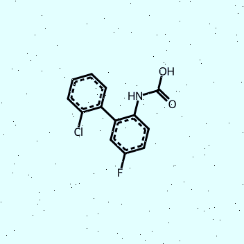 O=C(O)Nc1ccc(F)cc1-c1ccccc1Cl